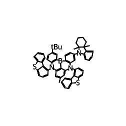 Cc1cc2c3c(c1)N(c1cccc4sc5ccccc5c14)c1cc(N4c5ccccc5C5(C)CCCCC45C)ccc1B3c1cc(C(C)(C)C)ccc1N2c1cccc2sc3ccccc3c12